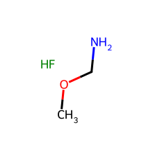 COCN.F